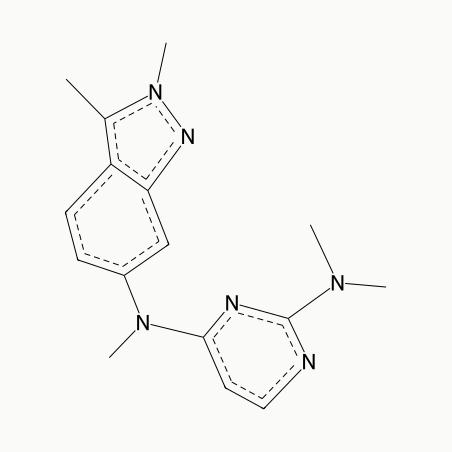 Cc1c2ccc(N(C)c3ccnc(N(C)C)n3)cc2nn1C